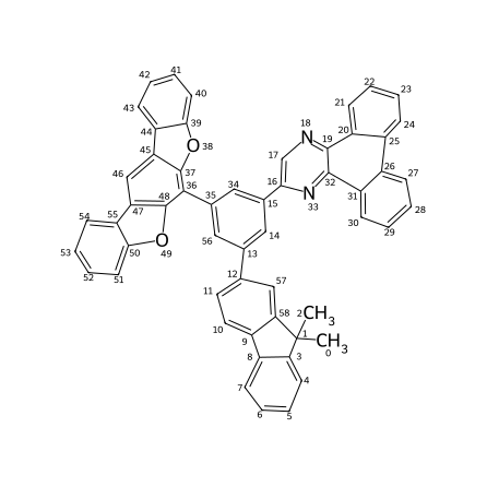 CC1(C)c2ccccc2-c2ccc(-c3cc(-c4cnc5c6ccccc6c6ccccc6c5n4)cc(-c4c5oc6ccccc6c5cc5c4oc4ccccc45)c3)cc21